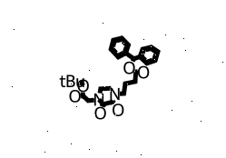 CC(C)(C)OC(=O)CN1CCN(CCCC(=O)OC(c2ccccc2)c2ccccc2)C(=O)C1=O